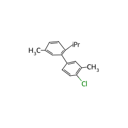 Cc1ccc(C(C)C)c(-c2ccc(Cl)c(C)c2)c1